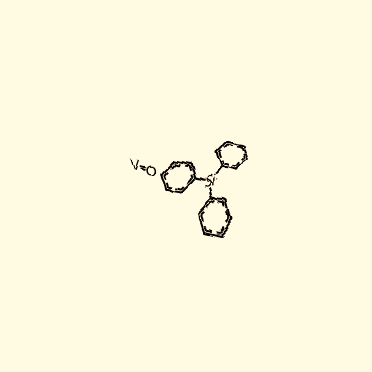 [O]=[V].c1ccc([Si](c2ccccc2)c2ccccc2)cc1